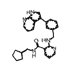 O=C(NCC1CCCC1)c1cccnc1NCc1cccc(-c2c[nH]c3ncccc23)c1